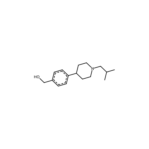 C[C](C)CN1CCC(c2ccc(CO)cc2)CC1